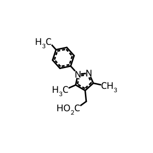 Cc1ccc(-n2nc(C)c(CC(=O)O)c2C)cc1